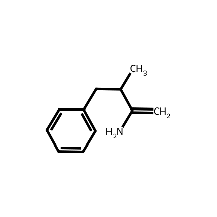 C=C(N)C(C)Cc1ccccc1